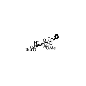 COC(=O)[C@H](C)N(CCC(=O)CNC(=O)OC(C)(C)C)C(=O)CNC(=O)OCc1ccccc1